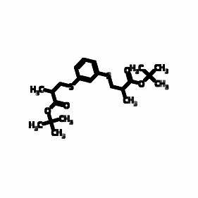 CC(CSc1cccc(SCC(C)C(=O)OC(C)(C)C)c1)C(=O)OC(C)(C)C